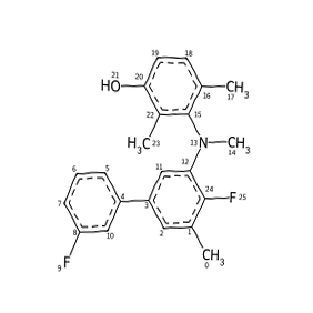 Cc1cc(-c2cccc(F)c2)cc(N(C)c2c(C)ccc(O)c2C)c1F